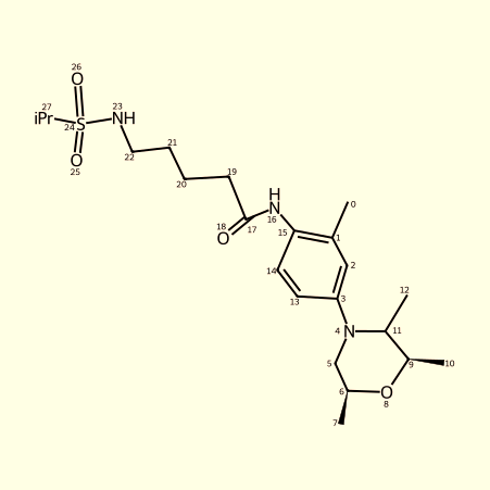 Cc1cc(N2C[C@H](C)O[C@H](C)C2C)ccc1NC(=O)CCCCNS(=O)(=O)C(C)C